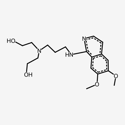 COc1cc2ccnc(NCCCN(CCO)CCO)c2cc1OC